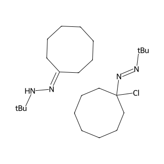 CC(C)(C)N=NC1(Cl)CCCCCCC1.CC(C)(C)NN=C1CCCCCCC1